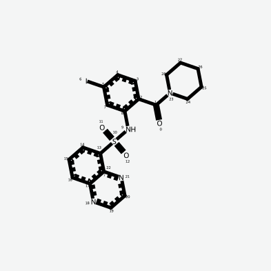 O=C(c1ccc(I)cc1NS(=O)(=O)c1cccc2nccnc12)N1CCCCC1